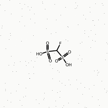 O=S(=O)(O)C(F)S(=O)(=O)O